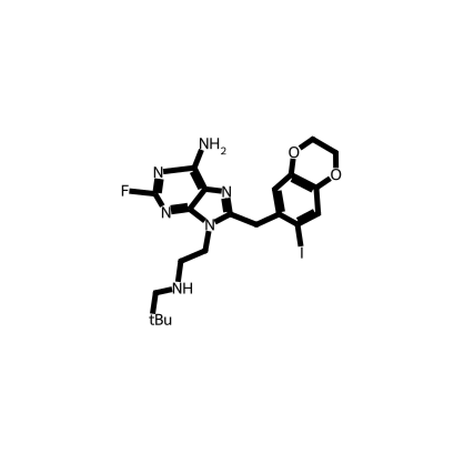 CC(C)(C)CNCCn1c(Cc2cc3c(cc2I)OCCO3)nc2c(N)nc(F)nc21